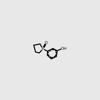 O=P1(c2cccc(O)c2)CCCC1